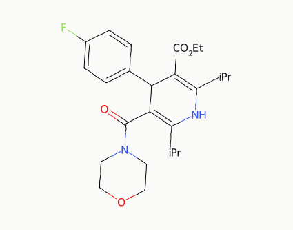 CCOC(=O)C1=C(C(C)C)NC(C(C)C)=C(C(=O)N2CCOCC2)C1c1ccc(F)cc1